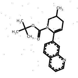 CC1CC=C(c2ccc3cccnc3c2)N(C(=O)OC(C)(C)C)C1